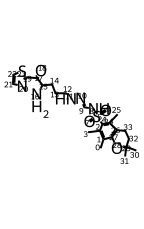 Cc1c(C)c(S(=O)(=O)NC=NNCCCC(N)C(=O)c2nccs2)c(C)c2c1OC(C)(C)CC2